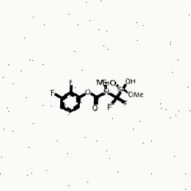 CO[Si](O)(OC)C(F)(F)N(F)C(=O)Oc1cccc(F)c1F